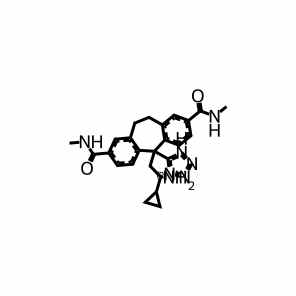 CNC(=O)c1ccc2c(c1)CCc1cc(C(=O)NC)ccc1C2(C[C@@H](N)C1CC1)c1nnn[nH]1